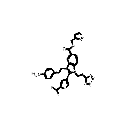 Cc1ccc(CCc2c(-c3csc(C(F)F)c3)n(CCc3nn[nH]n3)c3ccc(C(=O)NCc4ccon4)cc23)cc1